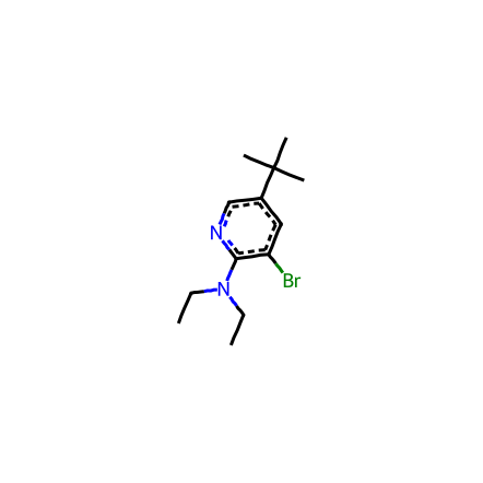 CCN(CC)c1ncc(C(C)(C)C)cc1Br